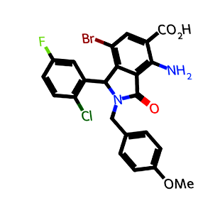 COc1ccc(CN2C(=O)c3c(N)c(C(=O)O)cc(Br)c3C2c2cc(F)ccc2Cl)cc1